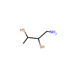 CC(S)C(S)CN